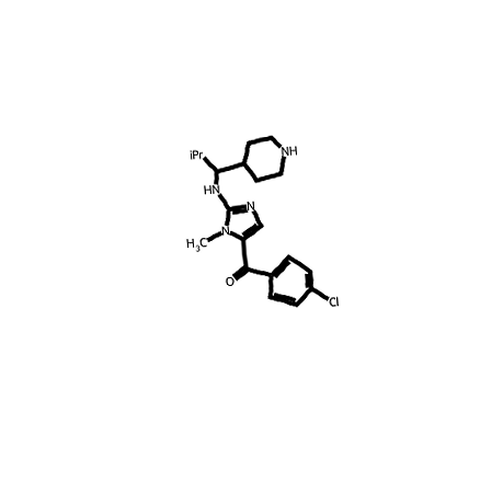 CC(C)C(Nc1ncc(C(=O)c2ccc(Cl)cc2)n1C)C1CCNCC1